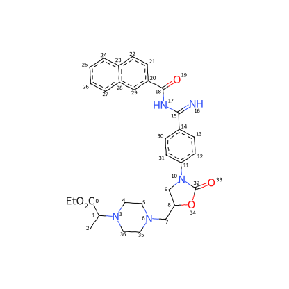 CCOC(=O)C(C)N1CCN(CC2CN(c3ccc(C(=N)NC(=O)c4ccc5ccccc5c4)cc3)C(=O)O2)CC1